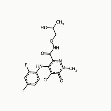 CC(O)CONC(=O)c1nn(C)c(=O)c(Cl)c1Nc1ccc(I)cc1F